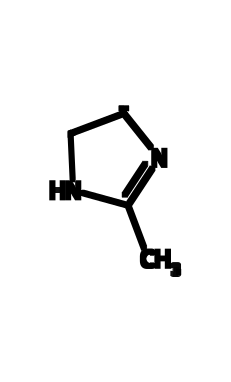 CC1=N[C]CN1